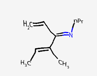 C=CC(=N\CCC)/C(C)=C/C